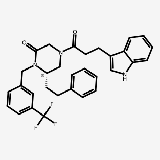 O=C(CCc1c[nH]c2ccccc12)N1CC(=O)N(Cc2cccc(C(F)(F)F)c2)[C@@H](CCc2ccccc2)C1